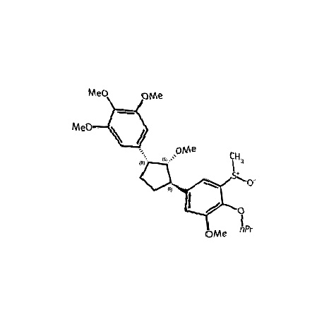 CCCOc1c(OC)cc([C@H]2CC[C@H](c3cc(OC)c(OC)c(OC)c3)[C@@H]2OC)cc1[S+](C)[O-]